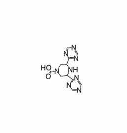 O=C(O)N1CC(c2ncncn2)NC(c2ncncn2)C1